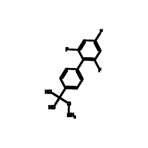 OC(O)(O[SiH3])c1ccc(-c2c(F)cc(F)cc2F)cc1